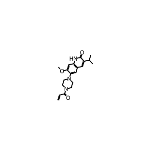 C=CC(=O)N1CCN(c2cc3cc(C(C)C)c(=O)[nH]c3cc2OC)CC1